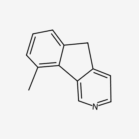 Cc1cccc2c1-c1cnccc1C2